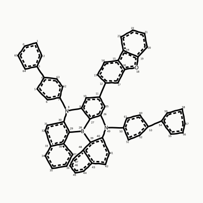 c1ccc(-c2ccc(N3c4cc(-c5ccc6c(c5)oc5ccccc56)cc5c4B(c4c3ccc3ccccc43)c3c(ccc4ccccc34)N5c3ccc(-c4ccccc4)cc3)cc2)cc1